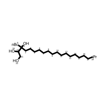 CCCCC(O)(CCCCCCCCCCCCCCCC(C)C)C(O)CO